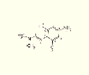 CN(C)C=Nc1c(Cl)cc(N)cc1Cl